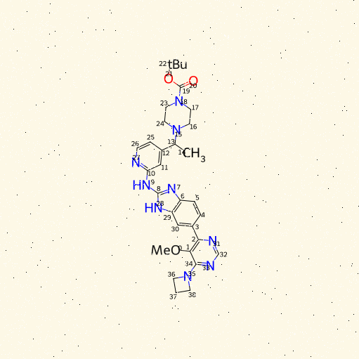 COc1c(-c2ccc3nc(Nc4cc(C(C)N5CCN(C(=O)OC(C)(C)C)CC5)ccn4)[nH]c3c2)ncnc1N1CCC1